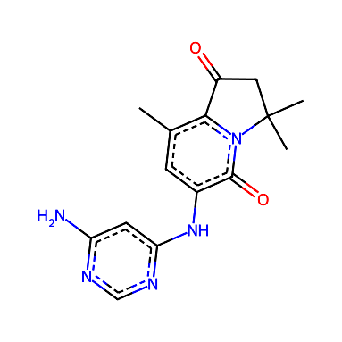 Cc1cc(Nc2cc(N)ncn2)c(=O)n2c1C(=O)CC2(C)C